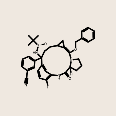 CC(C)(C)[S@@+]([O-])NC1(c2cccc(C#N)c2)CCC2C/C2=C(\OCc2ccccc2)N2CCC[C@@H]2C(=O)Nc2cc1ccc2F